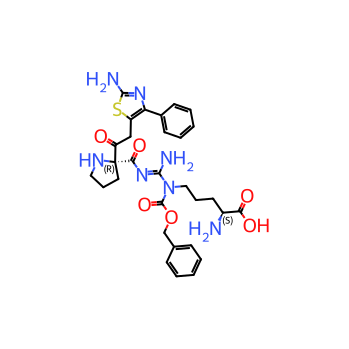 NC(=NC(=O)[C@]1(C(=O)Cc2sc(N)nc2-c2ccccc2)CCCN1)N(CCC[C@H](N)C(=O)O)C(=O)OCc1ccccc1